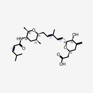 C=C1C[C@@H](CC(=O)O)O[C@H](/C=C/C(C)=C/C[C@@H]2O[C@H](C)[C@H](NC(=O)/C=C\C(C)C)C[C@@H]2C)[C@H]1O